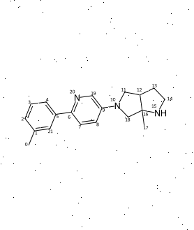 Cc1cccc(-c2ccc(N3CC4CCNC4(C)C3)cn2)c1